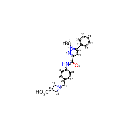 CC(C)(C)n1nc(C(=O)Nc2ccc(CN3CC(C(=O)O)C3)cc2)cc1-c1ccccc1